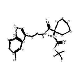 CC(C)(C)OC(=O)NC1(C(=O)NCCc2c[nH]c3ccc(F)cc23)CCCCC1